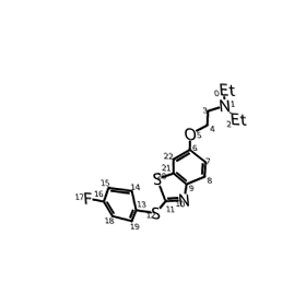 CCN(CC)CCOc1ccc2nc(Sc3ccc(F)cc3)sc2c1